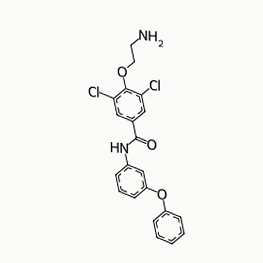 NCCOc1c(Cl)cc(C(=O)Nc2cccc(Oc3ccccc3)c2)cc1Cl